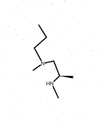 CCCN(C)C[C@@H](C)NC